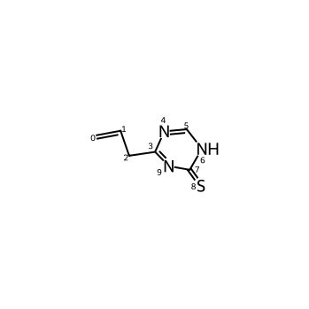 C=CCc1nc[nH]c(=S)n1